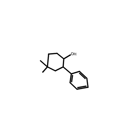 CC1(C)CCC(O)C(c2ccccc2)C1